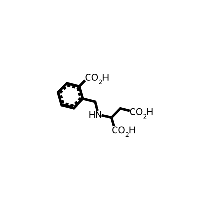 O=C(O)CC(NCc1ccccc1C(=O)O)C(=O)O